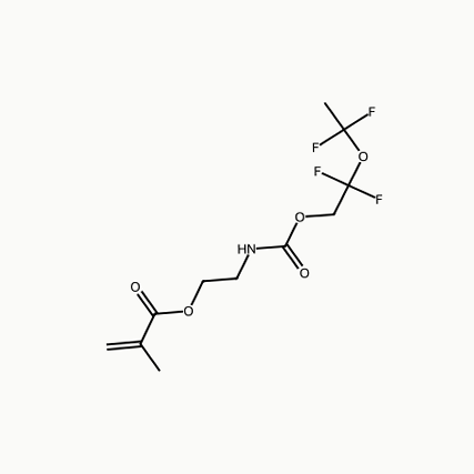 C=C(C)C(=O)OCCNC(=O)OCC(F)(F)OC(C)(F)F